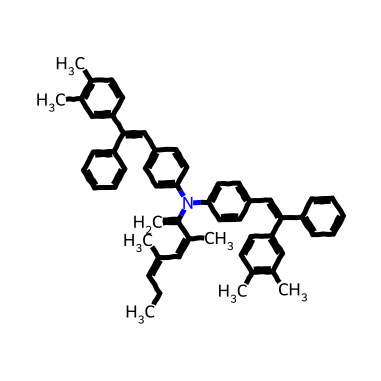 C=C(/C(C)=C\C(C)=C/CC)N(c1ccc(/C=C(/c2ccccc2)c2ccc(C)c(C)c2)cc1)c1ccc(/C=C(\c2ccccc2)c2ccc(C)c(C)c2)cc1